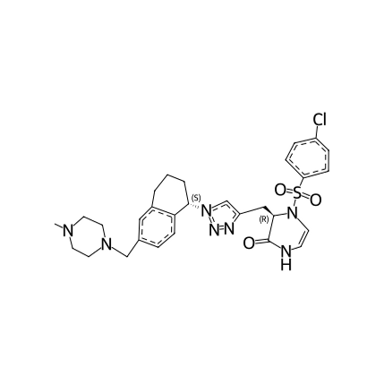 CN1CCN(Cc2ccc3c(c2)CCC[C@@H]3n2cc(C[C@@H]3C(=O)NC=CN3S(=O)(=O)c3ccc(Cl)cc3)nn2)CC1